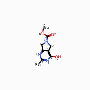 CCc1nc(O)c2c(n1)CN(C(=O)OC(C)(C)C)C2